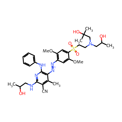 COc1cc(S(=O)(=O)CCN(CC(C)O)CC(C)(C)O)c(OC)cc1/N=N/c1c(Nc2ccccc2)nc(NCC(C)O)c(C#N)c1C